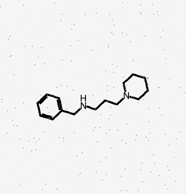 [CH]1CCN(CCCNCc2ccccc2)CC1